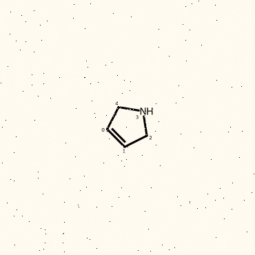 [C]1=[C]CNC1